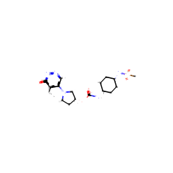 CS(=O)(=O)N[C@H]1CC[C@H](NC(=O)O[C@@H]2CCN(c3cn[nH]c(=O)c3C#N)C2)CC1